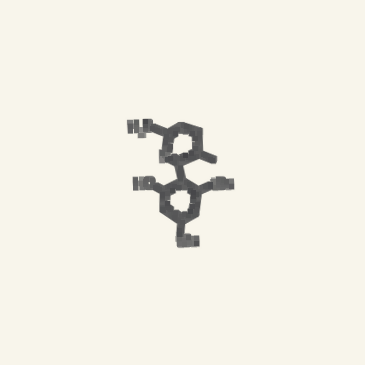 Bc1ccc(C)c(-c2c(O)cc(C(C)(C)C)cc2C(C)(C)C)n1